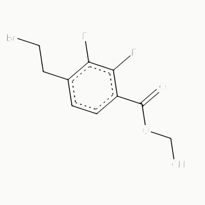 CCOC(=O)c1ccc(CCBr)c(F)c1F